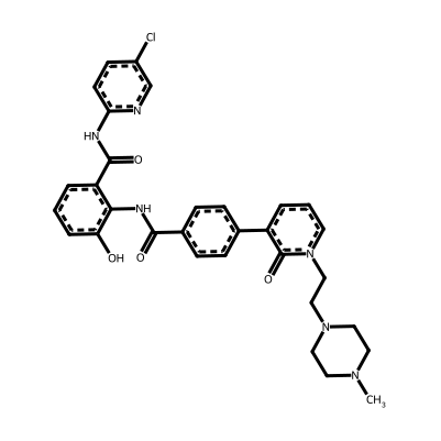 CN1CCN(CCn2cccc(-c3ccc(C(=O)Nc4c(O)cccc4C(=O)Nc4ccc(Cl)cn4)cc3)c2=O)CC1